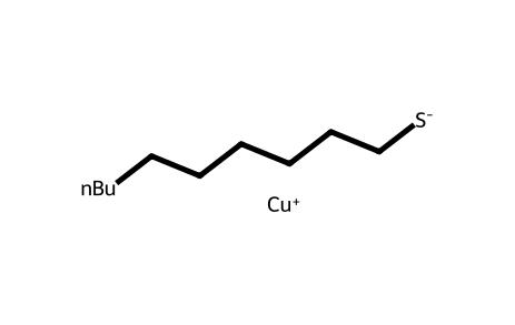 CCCCCCCCCC[S-].[Cu+]